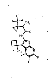 CC(C(=O)Nc1nc2cc(F)c(F)c(F)c2n1C1(C)CCC1)C1(C(F)(F)F)CC1